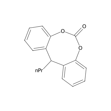 CCCC1c2ccccc2OC(=O)Oc2ccccc21